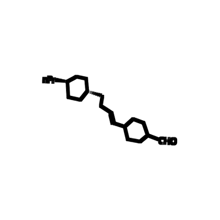 CCC[C@H]1CC[C@H](CCC=CC2CCC(C=O)CC2)CC1